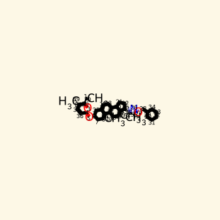 CC[C@H]1OC(OC2CC[C@@]3(C)C(=CCC4C3CC[C@@]3(C)C4CC[C@@H]3/C(C)=N/OCC3CCCCC3)C2)C=C[C@@H]1C